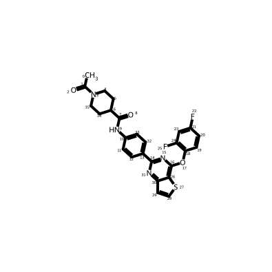 CC(=O)N1CCC(C(=O)Nc2ccc(-c3nc(Oc4ccc(F)cc4F)c4sccc4n3)cc2)CC1